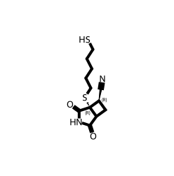 N#C[C@H]1CC2C(=O)NC(=O)[C@]21SCCCCCS